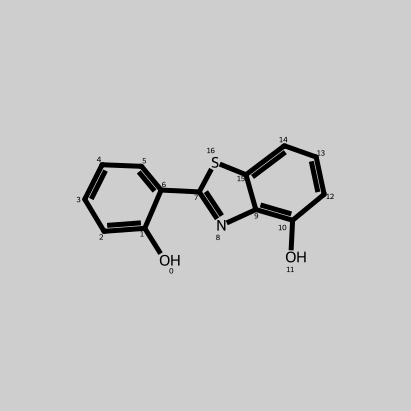 Oc1ccccc1-c1nc2c(O)cccc2s1